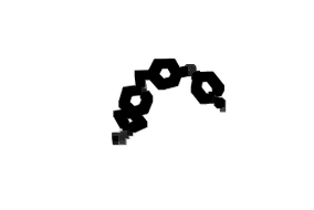 CCN1CC2(CCN(CC3CCC(OC4CCN(I)CC4)CC3)CC2)C1